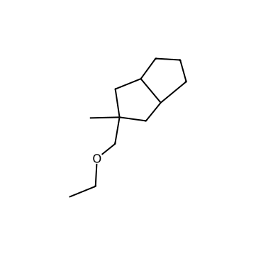 CCOCC1(C)CC2CCCC2C1